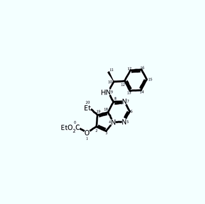 CCOC(=O)Oc1cn2ncnc(N[C@@H](C)c3ccccc3)c2c1CC